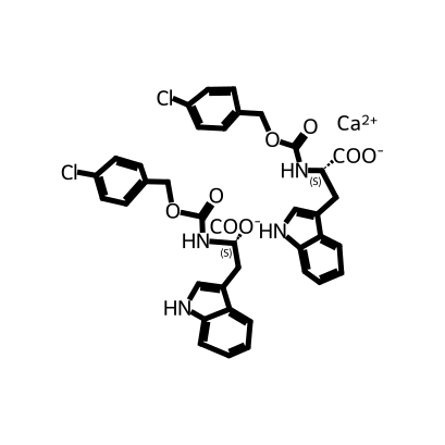 O=C(N[C@@H](Cc1c[nH]c2ccccc12)C(=O)[O-])OCc1ccc(Cl)cc1.O=C(N[C@@H](Cc1c[nH]c2ccccc12)C(=O)[O-])OCc1ccc(Cl)cc1.[Ca+2]